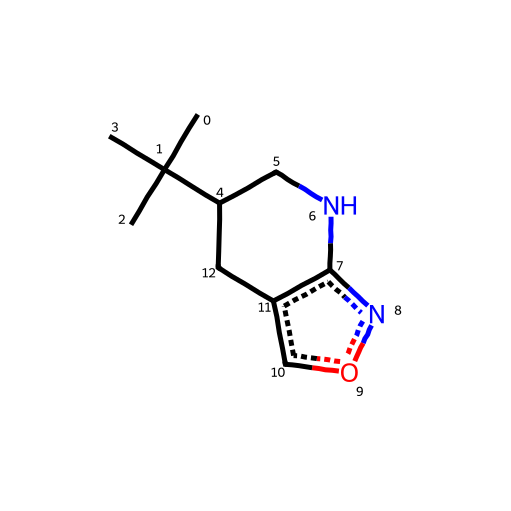 CC(C)(C)C1CNc2nocc2C1